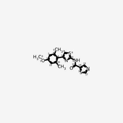 COc1cc(C)c(-c2csc(NC(=O)c3cncs3)n2)c(C)c1